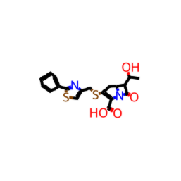 CC(O)C1C(=O)N2C(C(=O)O)=C(SCc3csc(-c4ccccc4)n3)CC12